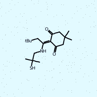 CC(C)(C)CC(NCC(C)(C)S)=C1C(=O)CC(C)(C)CC1=O